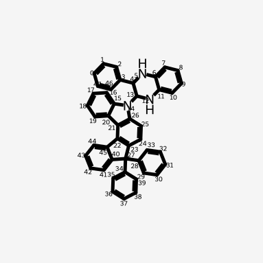 c1ccc(C2Nc3ccccc3NC2n2c3ccccc3c3c4c(ccc32)C(c2ccccc2)(c2ccccc2)c2ccccc2-4)cc1